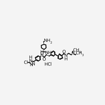 CCN(CC)CCNC(=O)c1cccc(-c2cccc(C[C@H](NC(=O)[C@H]3CC[C@H](CN)CC3)C(=O)Nc3ccc(-c4nnc(Cl)[nH]4)cc3)c2)c1.Cl